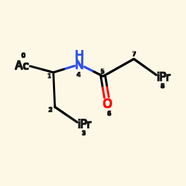 CC(=O)C(CC(C)C)NC(=O)CC(C)C